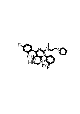 Cc1cc(F)ccc1-c1nc(NCCN2CCCC2)nc2c1CNC[N+]2([O-])c1ccccc1F